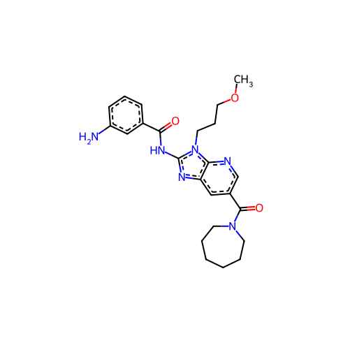 COCCCn1c(NC(=O)c2cccc(N)c2)nc2cc(C(=O)N3CCCCCC3)cnc21